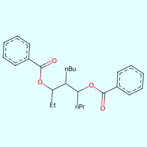 CCCCC(C(CC)OC(=O)c1ccccc1)C(CCC)OC(=O)c1ccccc1